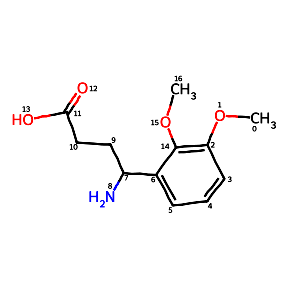 COc1cccc(C(N)CCC(=O)O)c1OC